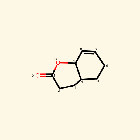 O=C1CCC2CCC=CC2O1